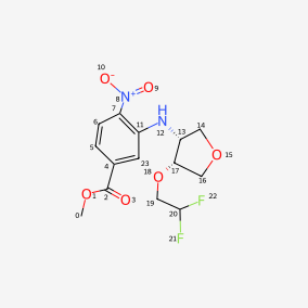 COC(=O)c1ccc([N+](=O)[O-])c(N[C@@H]2COC[C@@H]2OCC(F)F)c1